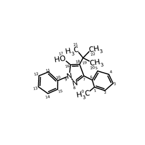 Cc1ccccc1-c1nn(-c2ccccc2)c(O)c1C(C)(C)C